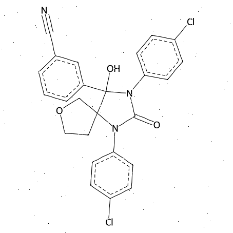 N#Cc1cccc(C2(O)N(c3ccc(Cl)cc3)C(=O)N(c3ccc(Cl)cc3)C23CCOC3)c1